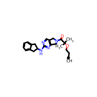 C#CCCOC(C)(C)C(=O)N1Cc2cnc(NC3Cc4ccccc4C3)nc2C1